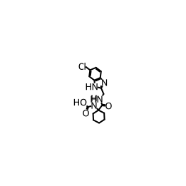 O=C(O)NC1(C(=O)NCc2nc3ccc(Cl)cc3[nH]2)CCCCC1